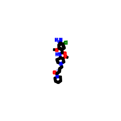 COc1cc(N)c(Cl)cc1C(=O)NC1CCN(C/C=C/C(=O)N2CCCCC2)CC1OC